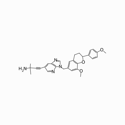 COc1ccc(C2CCc3cc(Cn4cnc5cc(C#CC(C)(C)N)cnc54)cc(OC)c3O2)cc1